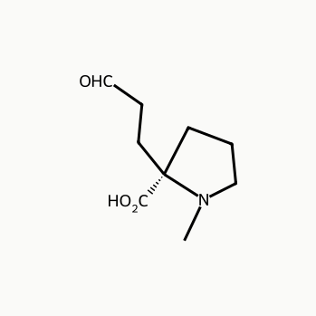 CN1CCC[C@@]1(CCC=O)C(=O)O